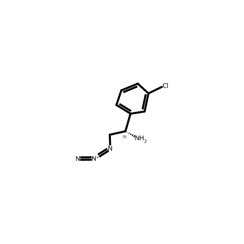 [N-]=[N+]=NC[C@@H](N)c1cccc(Cl)c1